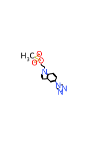 CS(=O)(=O)OCCn1ccc2cc(-n3cnnc3)ccc21